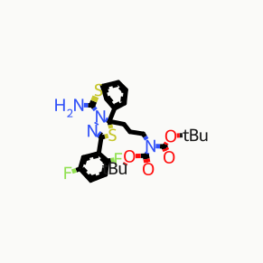 CC(C)(C)OC(=O)N(CCCC1(c2ccccc2)SC(c2cc(F)ccc2F)=NN1C(N)=S)C(=O)OC(C)(C)C